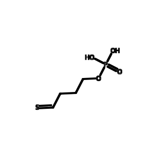 O=P(O)(O)OCCCC=S